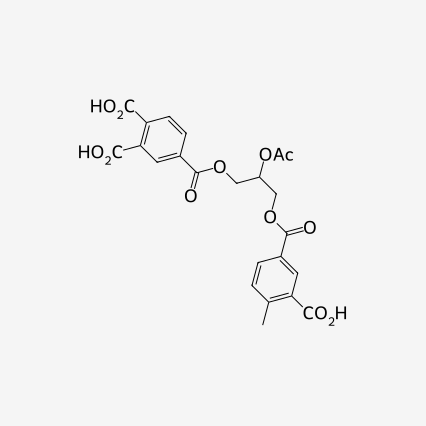 CC(=O)OC(COC(=O)c1ccc(C)c(C(=O)O)c1)COC(=O)c1ccc(C(=O)O)c(C(=O)O)c1